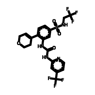 O=C(Nc1cc(C(F)(F)F)ccn1)Nc1cc(S(=O)(=O)NCC(F)(F)F)ccc1C1=CCOCC1